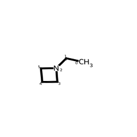 C[CH]N1CCC1